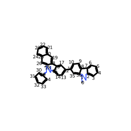 Cn1c2ccccc2c2ccc(-c3ccc4c(c3)c3cc5ccccc5cc3n4-c3ccccc3)cc21